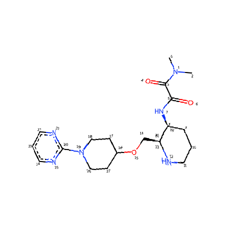 CN(C)C(=O)C(=O)N[C@H]1CCCN[C@H]1COC1CCN(c2ncccn2)CC1